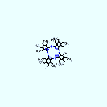 CCc1c(CC)c(CC)c2c(c1CC)-c1nc-2nc2[nH]c(nc3nc(nc4[nH]c(n1)c1c(C)c(CC)c(CC)c(CC)c41)-c1c(CC)c(CC)c(CC)c(CC)c1-3)c1c(CC)c(CC)c(CC)c(CC)c21